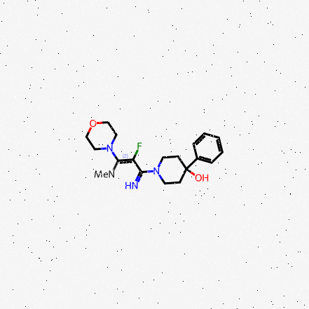 CN/C(=C(/F)C(=N)N1CCC(O)(c2ccccc2)CC1)N1CCOCC1